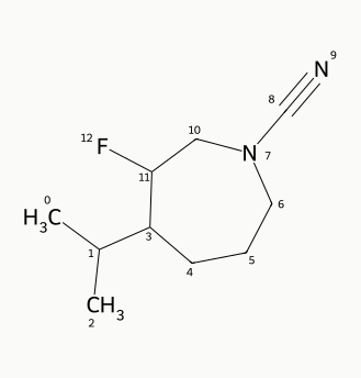 CC(C)C1CCCN(C#N)CC1F